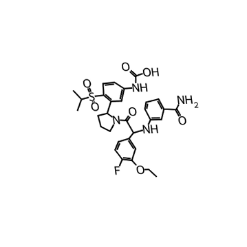 CCOc1cc(C(Nc2cccc(C(N)=O)c2)C(=O)N2CCCC2c2cc(NC(=O)O)ccc2S(=O)(=O)C(C)C)ccc1F